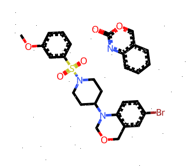 COc1cccc(S(=O)(=O)N2CCC(N3COCc4cc(Br)ccc43)CC2)c1.O=c1nc2ccccc2co1